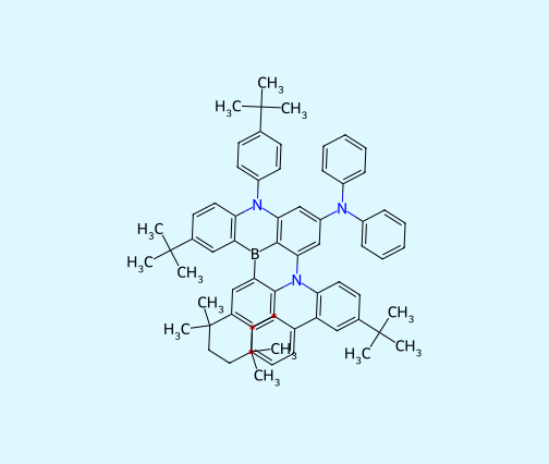 CC(C)(C)c1ccc(N2c3ccc(C(C)(C)C)cc3B3c4cc5c(cc4N(c4ccc(C(C)(C)C)cc4-c4ccccc4)c4cc(N(c6ccccc6)c6ccccc6)cc2c43)C(C)(C)CCC5(C)C)cc1